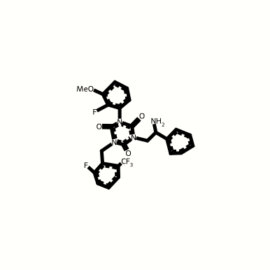 COc1cccc(-n2c(=O)n(Cc3c(F)cccc3C(F)(F)F)c(=O)n(CC(N)c3ccccc3)c2=O)c1F